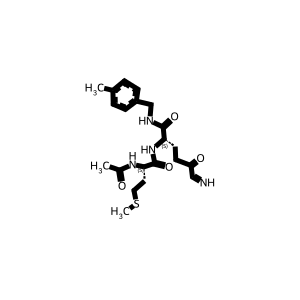 CSCC[C@H](NC(C)=O)C(=O)N[C@@H](CCC(=O)C=N)C(=O)NCc1ccc(C)cc1